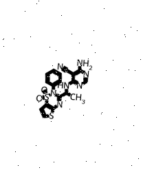 CC(Nc1ncnc(N)c1C#N)C1=Nc2sccc2S(=O)(=O)N1c1ccccc1